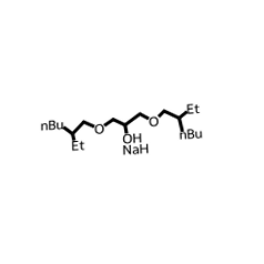 CCCCC(CC)COCC(O)COCC(CC)CCCC.[NaH]